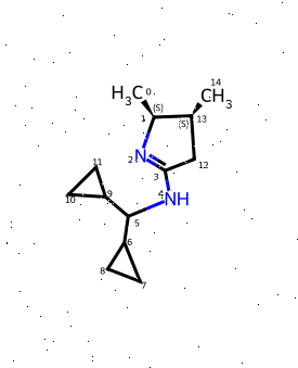 C[C@@H]1N=C(NC(C2CC2)C2CC2)C[C@@H]1C